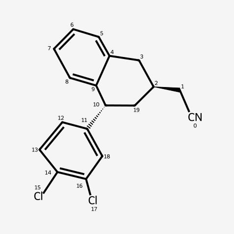 N#CC[C@@H]1Cc2ccccc2[C@@H](c2ccc(Cl)c(Cl)c2)C1